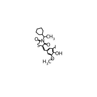 COc1cc(C=C2SC(=O)N(C(C)C3CCCCC3)C2=O)cc(I)c1O